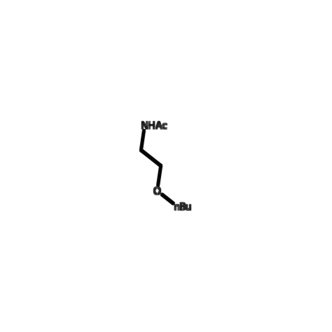 CCCCOCCNC(C)=O